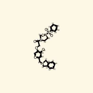 O=C(COc1coc(CN2Cc3ccccc3C2)cc1=O)N1CCN(S(=O)(=O)c2ccccc2)CC1